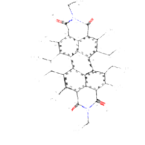 CCc1c(C)c2c3c(c(C)c(CC)c4c5c(CC)c(C)c6c7c(c(C)c(CC)c(c1c34)c75)C(=O)N(CC)C6=O)C(=O)N(CC)C2=O